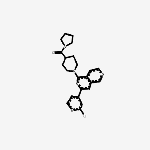 O=C(C1CCN(c2nc(-c3ccnc(Cl)c3)cc3cnccc23)CC1)N1CCCC1